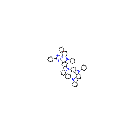 c1ccc(-c2nc(-c3ccccc3)nc(-c3cc4c5ccccc5n(-c5ccc6c(c5)c5c(ccc7c8ccccc8n(-c8ccccc8)c75)n6-c5ccccc5)c4c4c5ccccc5n(-c5ccccc5)c34)n2)cc1